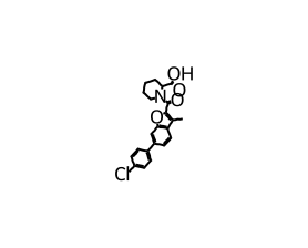 Cc1c(C(=O)N2CCCCC2C(=O)O)oc2cc(-c3ccc(Cl)cc3)ccc12